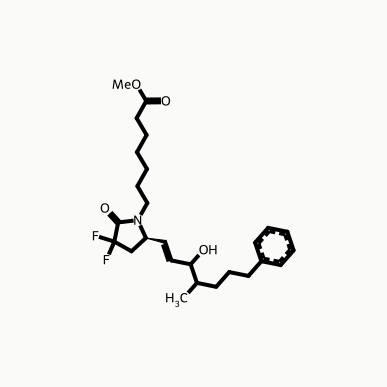 COC(=O)CCCCCCN1C(=O)C(F)(F)C[C@@H]1C=CC(O)C(C)CCCc1ccccc1